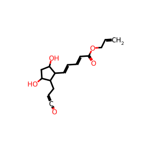 C=CCOC(=O)C=CC=CC1C(O)CC(O)C1CC=C=O